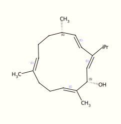 C/C1=C\CC[C@H](C)/C=C/C(C(C)C)=C/[C@H](O)/C(C)=C/CC1